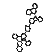 NC1=C(c2ccccc2-c2cc(-c3ccccc3)cc(-c3ccc(-c4ccc5c(c4)c4ccccc4n5-c4cc5ccccc5c5ccccc45)cc3)c2)C=C2CCC=CC2C1